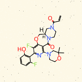 C=CC(=O)N1CCN2C(=O)c3c(N4CCOC(C)(C)C4)nc(-c4c(O)cccc4F)c(F)c3OC[C@H]2C1